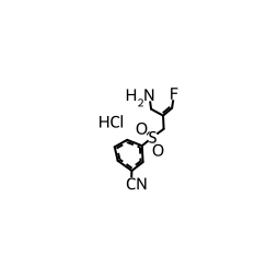 Cl.N#Cc1cccc(S(=O)(=O)CC(=CF)CN)c1